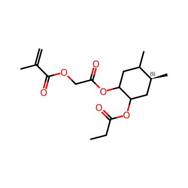 C=C(C)C(=O)OCC(=O)OC1CC(C)[C@@H](C)CC1OC(=O)CC